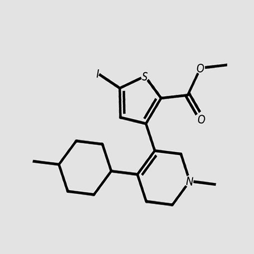 COC(=O)c1sc(I)cc1C1=C(C2CCC(C)CC2)CCN(C)C1